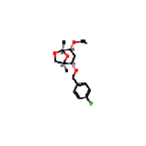 CO[C@@H]1C[C@H](OCc2ccc(F)cc2)[C@H]2CO[C@@H]1O2